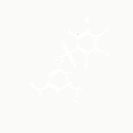 COc1cc(NS(=O)(=O)c2c(F)c(F)c(F)c(F)c2F)cc(OC)c1